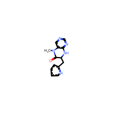 CN1C(=O)C(Cc2ccccn2)Nc2ncncc21